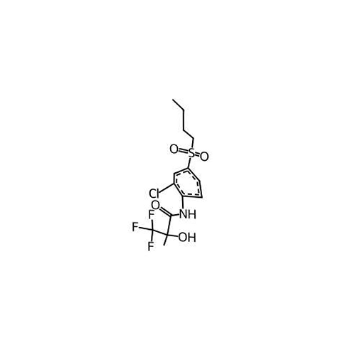 CCCCS(=O)(=O)c1ccc(NC(=O)C(C)(O)C(F)(F)F)c(Cl)c1